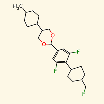 CC1CCC(C2COC(c3cc(F)c(C4CCC(CF)CC4)c(F)c3)OC2)CC1